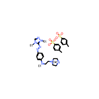 CCN(CC[N+]12CCN(CC1)CC2)c1ccc(N=Nc2n(CC)cn[n+]2CC)cc1.Cc1ccc(S(=O)(=O)[O-])cc1.Cc1ccc(S(=O)(=O)[O-])cc1